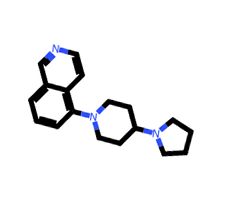 c1cc(N2CCC(N3CCCC3)CC2)c2ccncc2c1